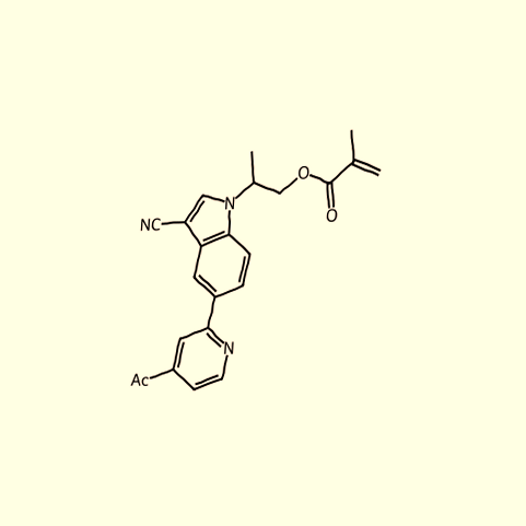 C=C(C)C(=O)OCC(C)n1cc(C#N)c2cc(-c3cc(C(C)=O)ccn3)ccc21